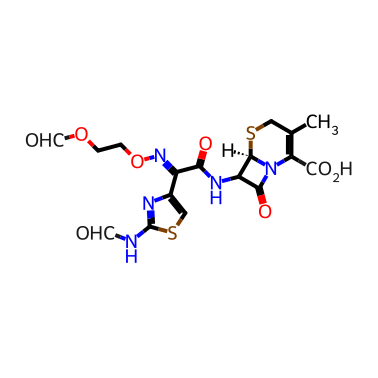 CC1=C(C(=O)O)N2C(=O)C(NC(=O)/C(=N/OCCOC=O)c3csc(NC=O)n3)[C@H]2SC1